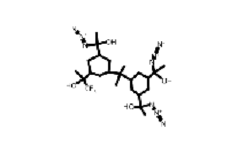 CC(O)(N=[N+]=[N-])C1CC(C(C)(O)N=[N+]=[N-])CC(C(C)(C)C2CC(C(C)(O)N=[N+]=[N-])CC(C(C)(O)C(F)(F)F)C2)C1